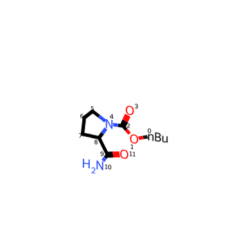 CCCCOC(=O)N1CCCC1C(N)=O